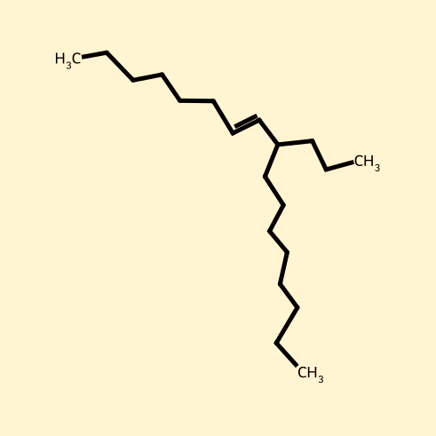 CCCCCCC=CC(CCC)CCCCCCCC